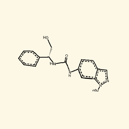 CCCCn1ncc2ccc(NC(=O)N[C@@H](CO)c3ccccc3)cc21